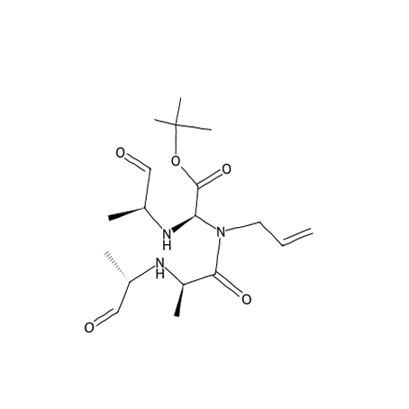 C=CCN(C(=O)[C@@H](C)N[C@@H](C)C=O)[C@@H](N[C@@H](C)C=O)C(=O)OC(C)(C)C